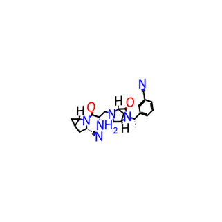 C[C@@H](c1cccc(C#N)c1)N1C(=O)[C@@H]2C[C@H]1CN2C[C@H](N)C(=O)N1[C@H](C#N)CC2C[C@@H]21